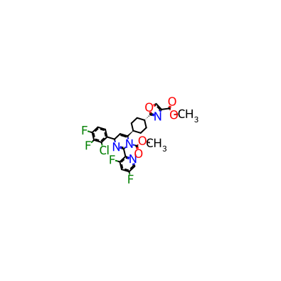 COC(=O)c1coc([C@H]2CC[C@H](C3=CC(c4ccc(F)c(F)c4Cl)N=C(c4ncc(F)cc4F)N3C(=O)OC)CC2)n1